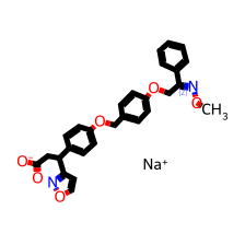 CO/N=C(\COc1ccc(COc2ccc(C(CC(=O)[O-])c3ccon3)cc2)cc1)c1ccccc1.[Na+]